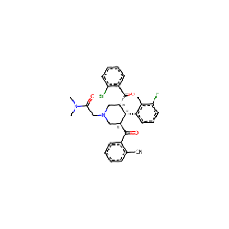 Cc1c(F)cccc1[C@H]1[C@@H](C(=O)c2ccccc2Br)CN(CC(=O)N(C)C)C[C@@H]1C(=O)c1ccccc1C#N